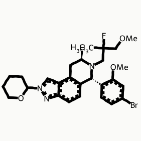 COCC(C)(F)CN1[C@H](c2ccc(Br)cc2OC)c2ccc3nn(C4CCCCO4)cc3c2C[C@H]1C